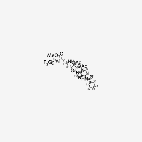 COC(=O)[C@H](CC[C@H](N)C[C@H]1O[C@@H](n2cnc3c(NC(=O)c4ccccc4)ncnc32)[C@@H](OC(C)=O)C1OC(C)=O)N=COC(F)(F)F